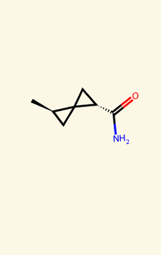 C[C@@H]1CC12C[C@@H]2C(N)=O